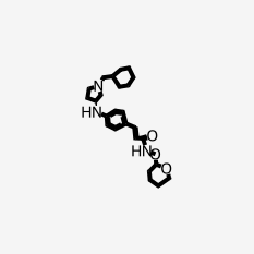 O=C(/C=C/c1ccc(N[C@@H]2CCN(CC3CCCCC3)C2)cc1)NOC1CCCCO1